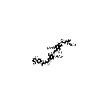 COc1cc2sc(C(=O)CCC(=O)OC3CCC(N4C(=O)C=CC4=O)CC3)cc2c(F)c1OCCC(O)c1c(OC)cc2c(c1F)CN(C(=O)CCC(=O)OC(C)(C)C)C2